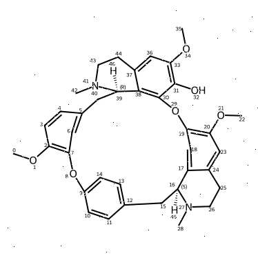 COc1ccc2cc1Oc1ccc(cc1)C[C@H]1c3cc(c(OC)cc3CCN1C)Oc1c(O)c(OC)cc3c1[C@@H](C2)N(C)CC3